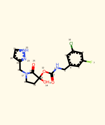 O=C(NCc1cc(F)cc(Cl)c1)OC1(O)CCN(Cc2cc[nH]n2)C1=O